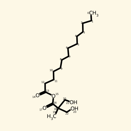 CCCCCCCCCCCCCC(=O)OC(=O)C(C)(CO)CO